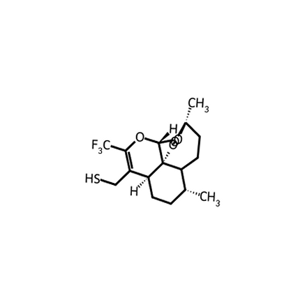 C[C@@H]1CC[C@H]2C(CS)=C(C(F)(F)F)O[C@@H]3O[C@]4(C)CCC1[C@]32OO4